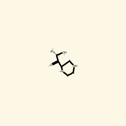 CC(C)[C@H](O)C(=O)C1CNCC[N]1